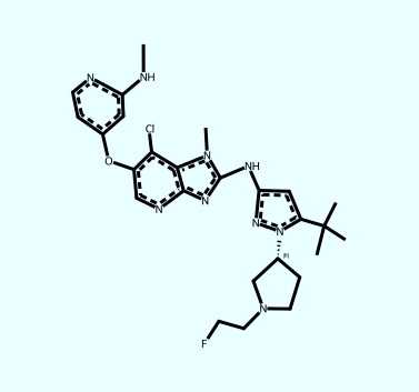 CNc1cc(Oc2cnc3nc(Nc4cc(C(C)(C)C)n([C@@H]5CCN(CCF)C5)n4)n(C)c3c2Cl)ccn1